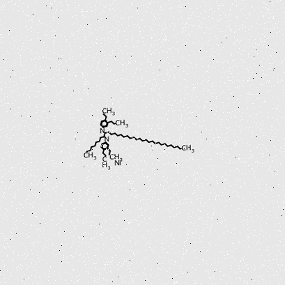 CCCCCCCCCCCCCCCCCCCCCCCCCC(=Nc1ccc(CCC)c(CCC)c1)C(CCCCCCCC)=Nc1ccc(CCC)c(CCC)c1.[Ni]